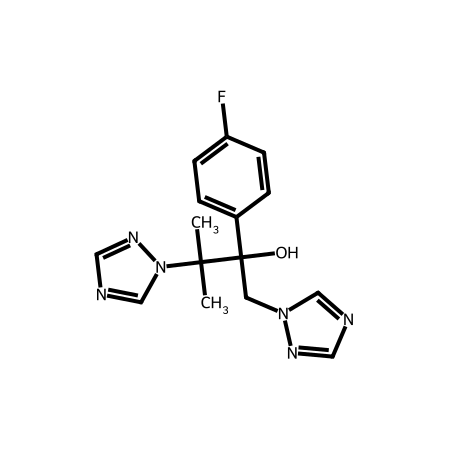 CC(C)(n1cncn1)C(O)(Cn1cncn1)c1ccc(F)cc1